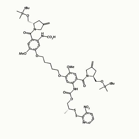 C=C1C[C@@H](CO[Si](C)(C)C(C)(C)C)N(C(=O)c2cc(OC)c(OCCCCCOc3cc(NC(=O)OC[C@@H](C)SSc4ncccc4[N+](=O)[O-])c(C(=O)N4CC(=C)C[C@H]4CO[Si](C)(C)C(C)(C)C)cc3OC)cc2NC(=O)O)C1